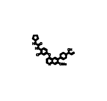 C=CC(O)N1CC=C(c2cc3c(Oc4ccc(NC(=O)NC5CCCC5)c(Cl)c4)ccnc3cc2OC)CC1